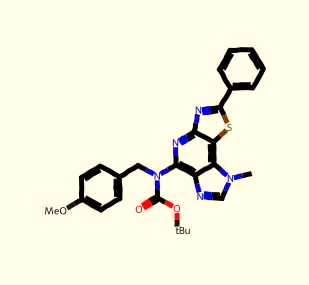 COc1ccc(CN(C(=O)OC(C)(C)C)c2nc3nc(-c4ccccc4)sc3c3c2ncn3C)cc1